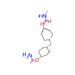 CNPOC1CCC(CC2CCC(OP(C)N)CC2)CC1